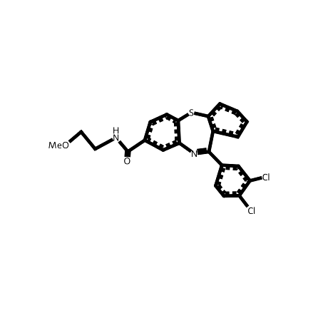 COCCNC(=O)c1ccc2c(c1)N=C(c1ccc(Cl)c(Cl)c1)c1ccccc1S2